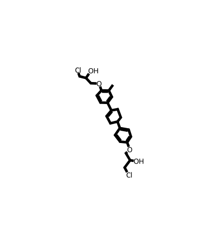 Cc1cc(C2=CCC(c3ccc(OCC(O)CCl)cc3)CC2)ccc1OCC(O)CCl